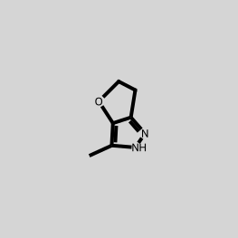 Cc1[nH]nc2c1OCC2